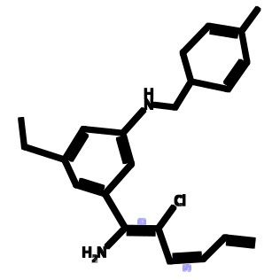 C=C/C=C\C(Cl)=C(/N)c1cc(CC)cc(NCC2C=CC(C)=CC2)c1